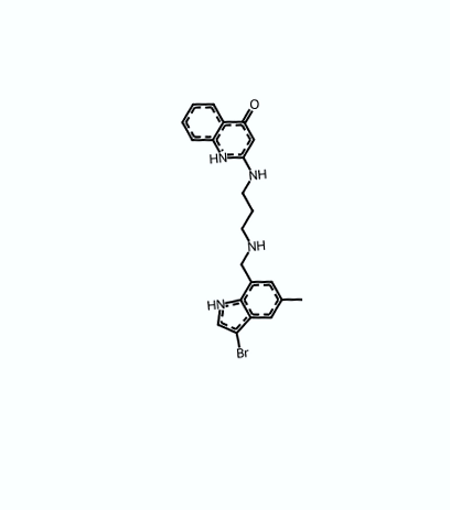 Cc1cc(CNCCCNc2cc(=O)c3ccccc3[nH]2)c2[nH]cc(Br)c2c1